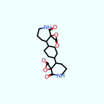 O=C1NCCCC(C2CCC(C3CCCNC(=O)C34OC4=O)CC2)C12OC2=O